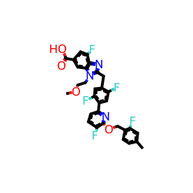 COCCn1c(Cc2cc(F)c(-c3ccc(F)c(OCc4ccc(C)cc4F)n3)cc2F)nc2c(F)cc(C(=O)O)cc21